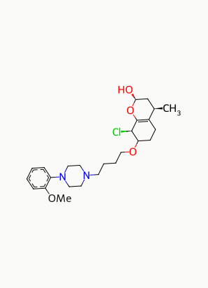 COc1ccccc1N1CCN(CCCCOC2CCC3=C(O[C@@H](O)C[C@H]3C)[C@@H]2Cl)CC1